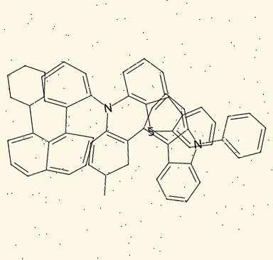 CC1C=CC(N(c2ccccc2-c2cccc3cccc(C4CCCCC4)c23)c2cccc3c2sc2ccccc23)=C(c2cccc3c2c2ccccc2n3-c2ccccc2)C1